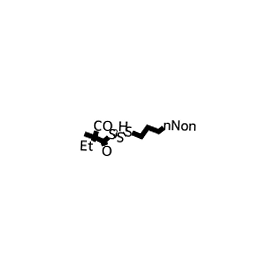 CCCCCCCCCCCCSSSC(=O)C(C)(CC)C(=O)O